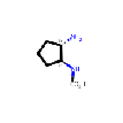 N[C@H]1CCC[C@@H]1NC(=O)O